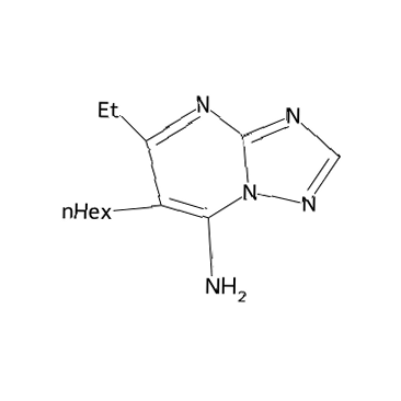 CCCCCCc1c(CC)nc2ncnn2c1N